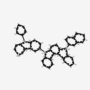 c1ccc(-n2c3ccncc3c3cc(-n4c5ccccc5c5c6c7ccccc7n(-c7ccc8ccccc8c7)c6ccc54)ccc32)cc1